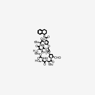 C[C@@H](C(=O)N[C@H](C(=O)N1C[C@@H](OCCO[C@H]2C[C@@H](C=O)N(C(=O)[C@@H](NC(=O)[C@H](CO)NC(=O)OC(C)(C)C)C(C)(C)C)C2)C[C@H]1C(=O)N[C@@H]1CCCc2ccccc21)C(C)(C)C)N(C)C(=O)OC(C)(C)C